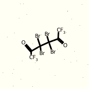 O=C(C(F)(F)F)C(Br)(Br)C(Br)(Br)C(=O)C(F)(F)F